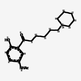 CC(=O)Nc1ccc(O)c(C(=O)CCCCCN2CC[CH]CC2)c1